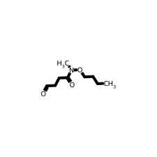 CCCCON(C)C(=O)CCC=O